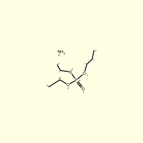 CCCOP(=O)(OCC)OCC.N